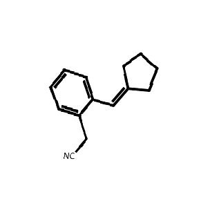 N#CCc1ccccc1C=C1CCCC1